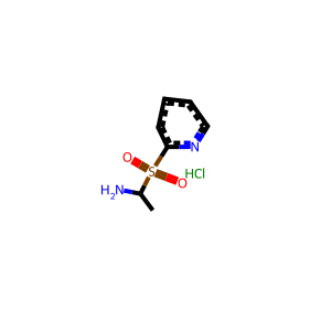 CC(N)S(=O)(=O)c1ccccn1.Cl